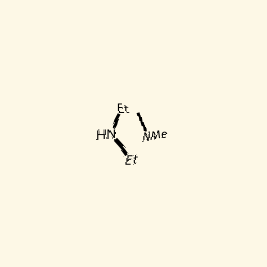 CCNCC.CNC